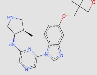 C[C@@H]1CNC[C@@H]1Nc1cncc(-n2cnc3cc(OCC4(C)COC4)ccc32)n1